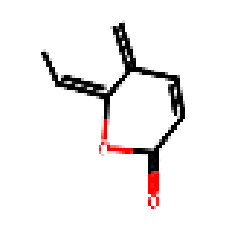 C=c1ccc(=O)o/c1=C/C